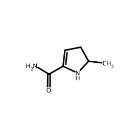 CC1CC=C(C(N)=O)N1